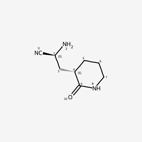 N#C[C@@H](N)C[C@@H]1CCCNC1=O